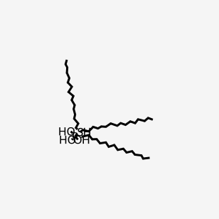 CCCCCCCCCCCCCCCC[SH](CCCCCCCCCCCCCCCC)(CCCCCCCCCCCCCCCC)=P(O)(O)O